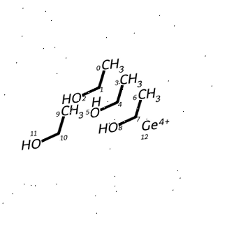 CCO.CCO.CCO.CCO.[Ge+4]